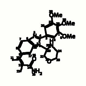 COc1cc(-c2nc3ccc(C(C)=C(C)C(N)=O)cc3n2C2COCCN2)cc(OC)c1OC